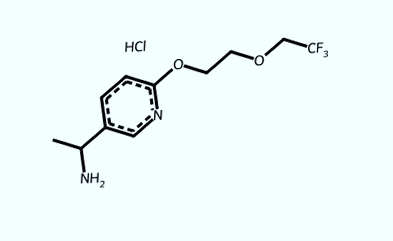 CC(N)c1ccc(OCCOCC(F)(F)F)nc1.Cl